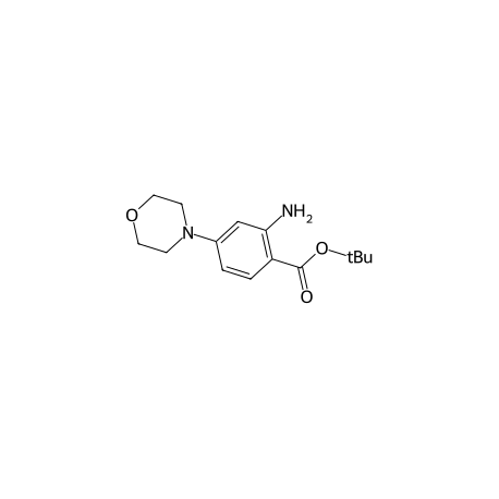 CC(C)(C)OC(=O)c1ccc(N2CCOCC2)cc1N